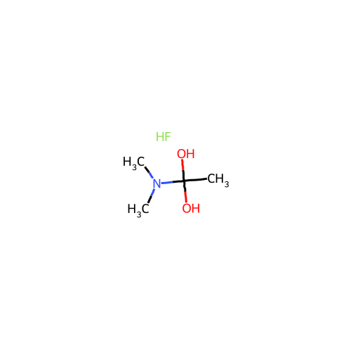 CN(C)C(C)(O)O.F